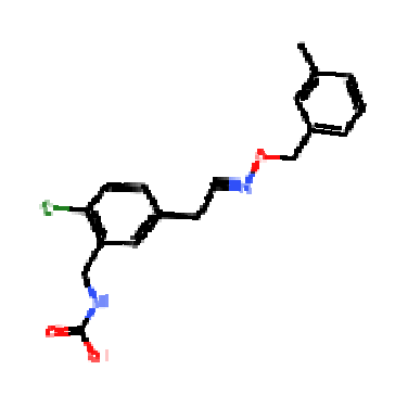 Cc1cccc(CON=CCc2ccc(Cl)c(CNC(=O)O)c2)c1